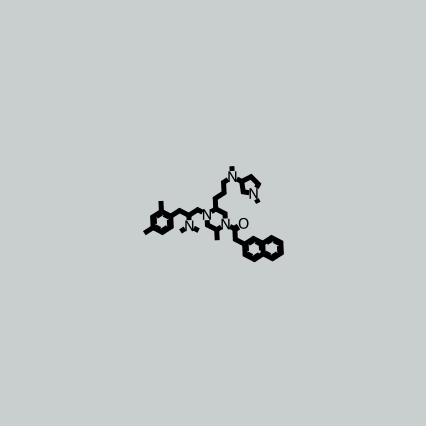 Cc1ccc(CC(CN2CC(C)N(C(=O)Cc3ccc4ccccc4c3)CC2CCCN(C)C2CCN(C)C2)N(C)C)c(C)c1